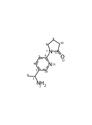 CC(N)c1ccc(N2CCCC2=O)nc1